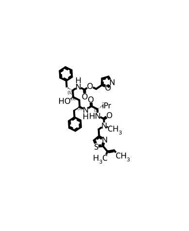 CC=C(C)c1nc(CN(C)C(=O)N[C@H](C(=O)N[C@@H](Cc2ccccc2)C[C@H](O)[C@H](Cc2ccccc2)NC(=O)OCc2ccno2)C(C)C)cs1